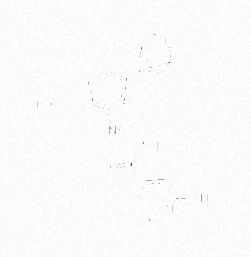 COc1ccc(N2CC3CC2CO3)c2sc(NC(=O)c3ccnc(C)c3)nc12